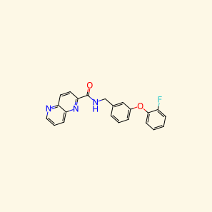 O=C(NCc1cccc(Oc2ccccc2F)c1)c1ccc2ncccc2n1